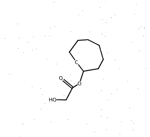 O=C(CO)OC1CCCCCCC1